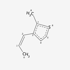 C/C=C\c1ccsc1C